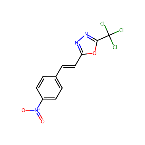 O=[N+]([O-])c1ccc(C=Cc2nnc(C(Cl)(Cl)Cl)o2)cc1